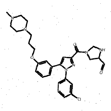 CN1CCN(CCCOc2cccc(-c3cc(C(=O)N4CNC(C=O)C4)nn3-c3cccc(Cl)c3)c2)CC1